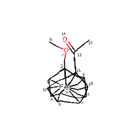 CO[C]12[CH]3[CH]4[CH]5[CH]1[Fe]45321678[CH]2[CH]1[CH]6[C]7(C(C)=O)[CH]28